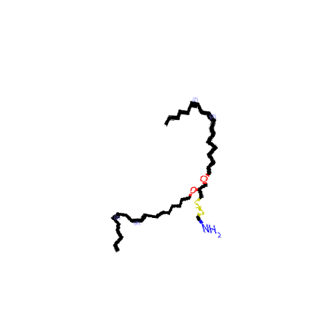 CCCCC/C=C\C/C=C\CCCCCCCCOCC(CSSCN)OCCCCCCCC/C=C\C/C=C\CCCCC